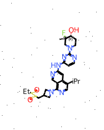 CCS(=O)(=O)CC1CN(c2ncc(C(C)C)c3cc(Nc4ccnc(N5CC[C@@H](O)[C@@](C)(F)C5)n4)ncc23)C1